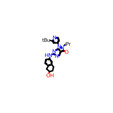 CC(C)n1c(=O)c2cnc(Nc3ccc4c(c3)CCC(O)C4)nc2n1-c1ccnc(C(C)(C)C)c1